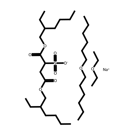 CCCCC(CC)COC(=O)CC(C(=O)OCC(CC)CCCC)S(=O)(=O)[O-].CCCCCCOCCCCCC.CCOCC.[Na+]